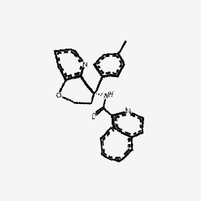 Cc1ccc([C@@]2(NC(=O)c3nccc4ccccc34)CCOc3cccnc32)cc1